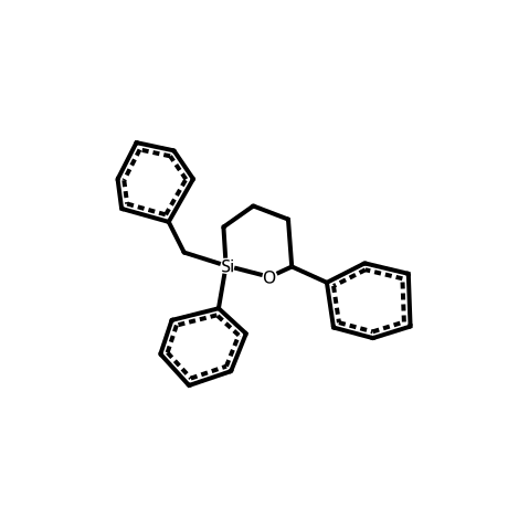 c1ccc(C[Si]2(c3ccccc3)CCCC(c3ccccc3)O2)cc1